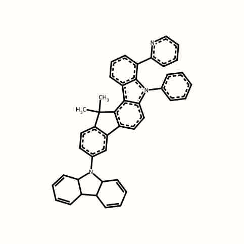 CC1(C)c2ccc(N3C4C=CC=CC4C4C=CC=CC43)cc2-c2ccc3c(c21)c1cccc(-c2ccccn2)c1n3-c1ccccc1